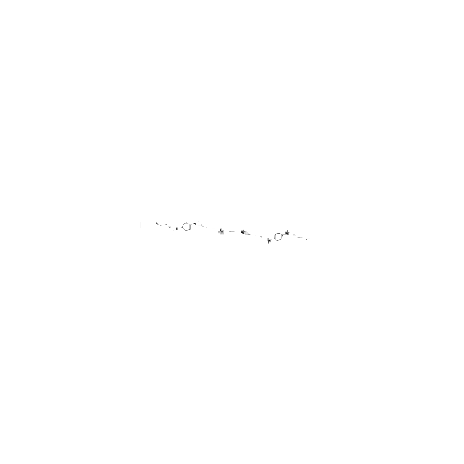 O=C(CCCCC(=O)OCCCCOC(=O)c1ccc(C(=O)OCCCCO)cc1)OCCCCOC(=O)c1ccc(C(=O)OCCCCO)cc1